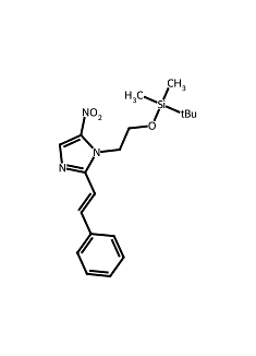 CC(C)(C)[Si](C)(C)OCCn1c([N+](=O)[O-])cnc1/C=C/c1ccccc1